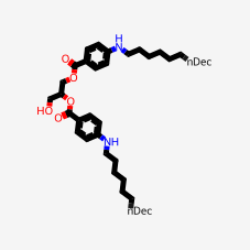 CCCCCCCCCCCCCCCCNc1ccc(C(=O)OCC(CO)OC(=O)c2ccc(NCCCCCCCCCCCCCCCC)cc2)cc1